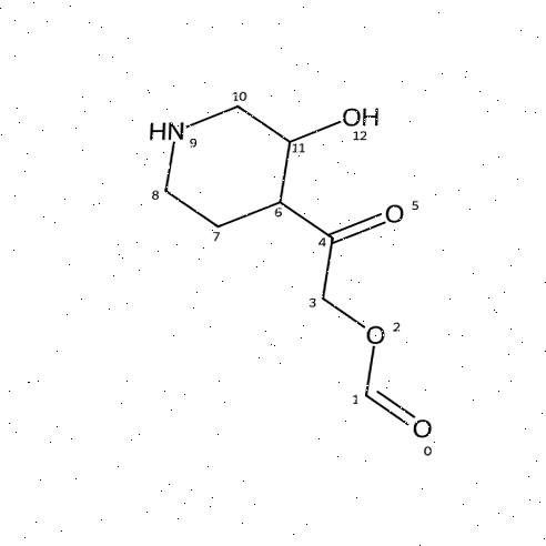 O=COCC(=O)C1CCNCC1O